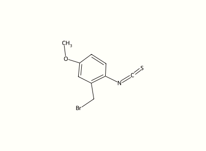 COc1ccc(N=C=S)c(CBr)c1